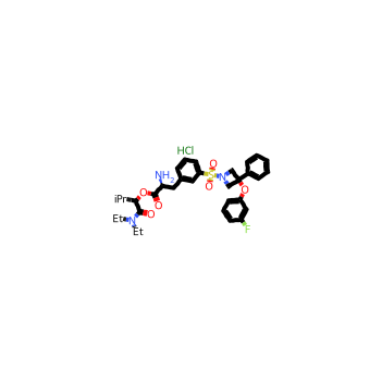 CCN(CC)C(=O)C(OC(=O)[C@@H](N)Cc1cccc(S(=O)(=O)N2CC(Oc3cccc(F)c3)(c3ccccc3)C2)c1)C(C)C.Cl